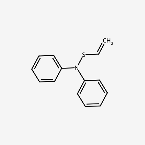 C=CSN(c1ccccc1)c1ccccc1